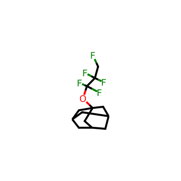 FCC(F)(F)C(F)(F)OC12CC3CC(CC(C3)C1)C2